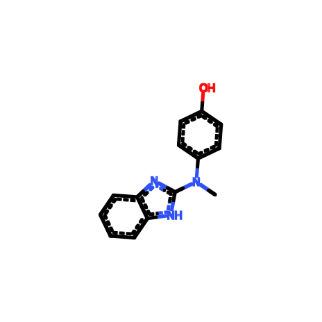 CN(c1ccc(O)cc1)c1nc2ccccc2[nH]1